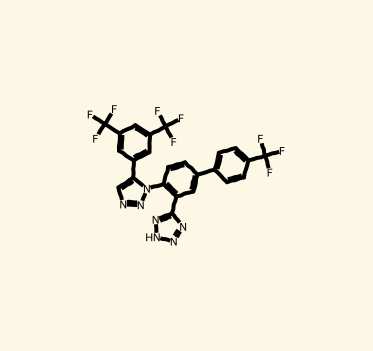 FC(F)(F)c1ccc(-c2ccc(-n3nncc3-c3cc(C(F)(F)F)cc(C(F)(F)F)c3)c(-c3nn[nH]n3)c2)cc1